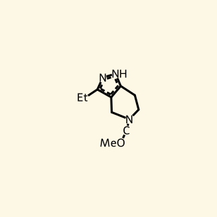 CCc1n[nH]c2c1CN(COC)CC2